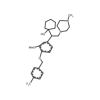 COc1cc(C(CN2CCN(C)CC2)C2(O)CCCCC2)ccc1OCc1ccc(C(F)(F)F)cc1